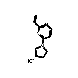 C=Cc1nccc(N2CC[C@H](O)C2)n1